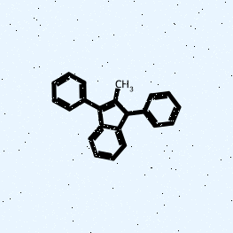 CC1=C(c2ccccc2)c2ccccc2C1c1ccccc1